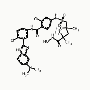 CN(C)c1ccc2[nH]c(-c3cc(NC(=O)c4ccc(NS(=O)(=O)CC(C)(C)CC(C)(C)C(=O)NO)cc4Cl)ccc3Cl)nc2c1